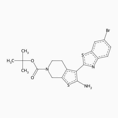 CC(C)(C)OC(=O)N1CCc2c(sc(N)c2-c2nc3ccc(Br)cc3s2)C1